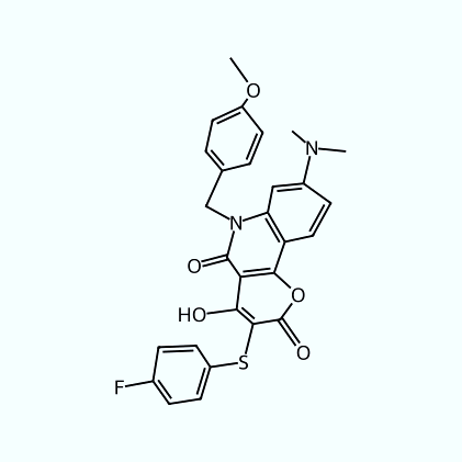 COc1ccc(Cn2c(=O)c3c(O)c(Sc4ccc(F)cc4)c(=O)oc3c3ccc(N(C)C)cc32)cc1